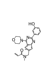 C=CC(=O)N(C)Cc1cc2nc(-c3cccc(O)c3)nc(N3CCOCC3)c2s1